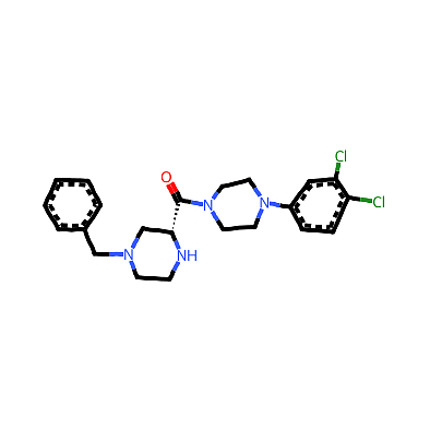 O=C([C@H]1CN(Cc2ccccc2)CCN1)N1CCN(c2ccc(Cl)c(Cl)c2)CC1